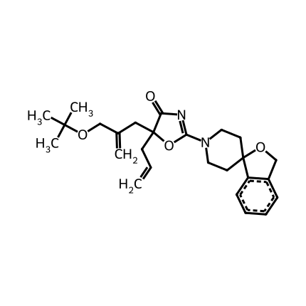 C=CCC1(CC(=C)COC(C)(C)C)OC(N2CCC3(CC2)OCc2ccccc23)=NC1=O